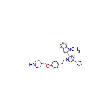 Cn1c(-c2nc(C3CCC3)cn2CCc2ccc(OCC3CCNCC3)cc2)cc2sccc21